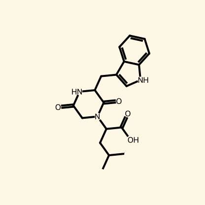 CC(C)CC(C(=O)O)N1CC(=O)NC(Cc2c[nH]c3ccccc23)C1=O